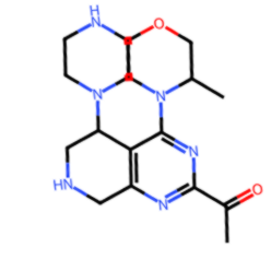 CC(=O)c1nc2c(c(N3CCOCC3C)n1)C(N1CCNCC1)CNC2